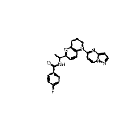 CC(NC(=O)c1ccc(F)cc1)c1ccc2c(n1)CCCN2c1ccn2nccc2n1